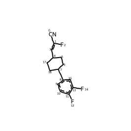 N#CC(F)=CC1CCC(c2ccc(F)c(F)c2)CC1